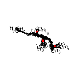 C=C(C)C(=O)OCCCCCCCCCCOc1ccc(-c2ccc(-c3ccc4c(c3)C(CCCCC)(CCCCC)c3cc(-c5ccc6c(c5)C(CCCCCC)(CCCCCC)c5cc(-c7ccc(-c8ccc(-c9ccc%10c(c9)C(CCCCCCCC)(CCCCCCCC)c9cc(C)ccc9-%10)s8)s7)ccc5-6)ccc3-4)s2)cc1